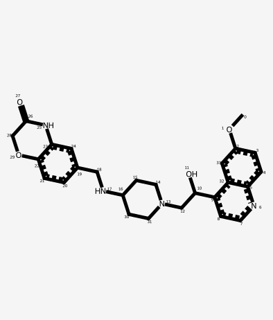 COc1ccc2nccc(C(O)CN3CCC(NCc4ccc5c(c4)NC(=O)CO5)CC3)c2c1